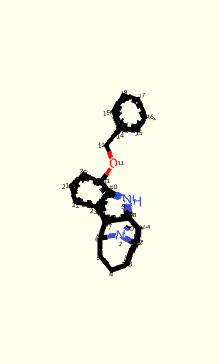 CN1C2CCCC1c1c([nH]c3c(OCc4ccccc4)cccc13)C2